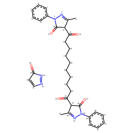 CC1=NN(c2ccccc2)C(=O)C1C(=O)CCCCCCCCC(=O)C1C(=O)N(c2ccccc2)N=C1C.O=C1C=CN=N1